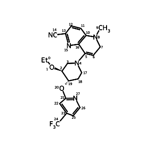 CCO[C@H]1CN(C2=CCN(C)c3ccc(C#N)nc32)CC[C@@H]1Oc1cc(C(F)(F)F)ccn1